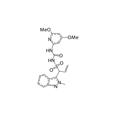 C=CC(c1c2ccccc2nn1C)S(=O)(=O)NC(=O)Nc1cc(OC)cc(OC)n1